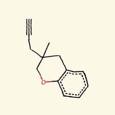 C#CCC1(C)COc2ccccc2C1